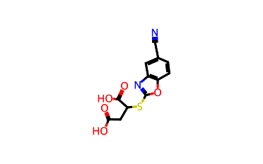 N#Cc1ccc2oc(SC(CC(=O)O)C(=O)O)nc2c1